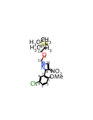 COc1ccc(Cl)cc1-c1nn(COCC[SH](C)(C)(C)C)cc1[N+](=O)[O-]